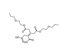 CCCOCCOC(=O)CC(CC(=O)OCCOCCC)=C(CC(=O)O)C(=O)O